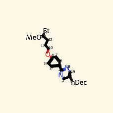 CCCCCCCCCCc1cnc(-c2ccc(OCCCC(CC)OC)cc2)nc1